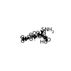 COC(=O)C(C)(C)COS(=O)(=O)N1C(=O)[C@@H](NC(=O)/C(=N/OC(C)(C)C(=O)O)c2csc(N)n2)[C@@H]1C